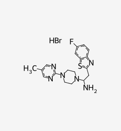 Br.Cc1cnc(N2CCN(C(N)Cc3nc4ccc(F)cc4s3)CC2)nc1